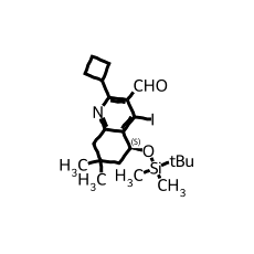 CC1(C)Cc2nc(C3CCC3)c(C=O)c(I)c2[C@@H](O[Si](C)(C)C(C)(C)C)C1